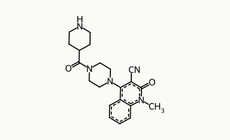 Cn1c(=O)c(C#N)c(N2CCN(C(=O)C3CCNCC3)CC2)c2ccccc21